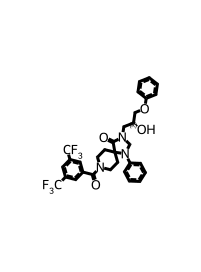 O=C(c1cc(C(F)(F)F)cc(C(F)(F)F)c1)N1CCC2(CC1)C(=O)N(C[C@@H](O)COc1ccccc1)CN2c1ccccc1